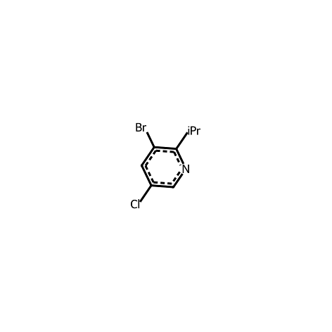 CC(C)c1ncc(Cl)cc1Br